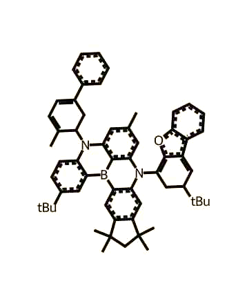 CC1=CC=C(c2ccccc2)CC1N1c2ccc(C(C)(C)C)cc2B2c3cc4c(cc3N(C3=c5oc6ccccc6c5=CC(C(C)(C)C)C3)c3cc(C)cc1c32)C(C)(C)CC4(C)C